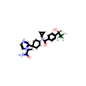 C[C@](O)(c1ccc(C(=O)N(C2CC2)[C@H]2CC[C@](CCC(N)=O)(c3cnccn3)CC2)cc1)C(F)(F)F